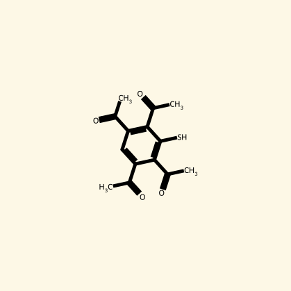 CC(=O)c1cc(C(C)=O)c(C(C)=O)c(S)c1C(C)=O